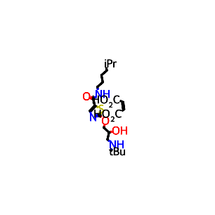 CC(C)CCCCNC(=O)c1cnc(OCC(O)CNC(C)(C)C)s1.O=C(O)/C=C\C(=O)O